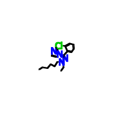 CCCCCCN(CC)N=C(c1ccccc1Cl)n1ccnc1